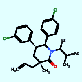 C=CC[C@@]1(C)C[C@H](c2cccc(Cl)c2)[C@@H](c2ccc(Cl)cc2)N(C(CC)[C@H](C)C(C)=O)C1=O